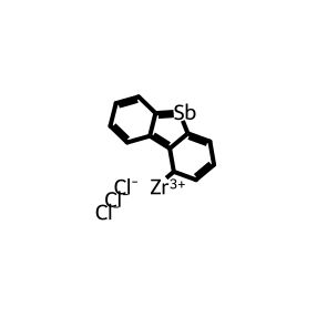 [Cl-].[Cl-].[Cl-].[Zr+3][CH]1C=CC=[C]2[Sb]=[c]3ccccc3=C21